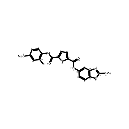 COc1ccc(NC(=O)c2ccc(C(=O)Nc3ccc4sc(SC)nc4c3)s2)c(C)c1